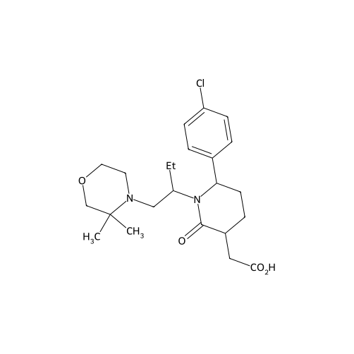 CCC(CN1CCOCC1(C)C)N1C(=O)C(CC(=O)O)CCC1c1ccc(Cl)cc1